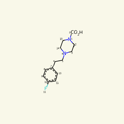 O=C(O)N1CCN(CCc2ccc(F)cc2)CC1